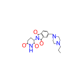 CCCN1CCN(Cc2ccc3c(c2)C(=O)N(C2CCC(=O)NC2=O)C3=O)CC1